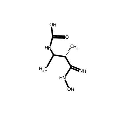 CC(NC(=O)O)[C@H](C)C(=N)NO